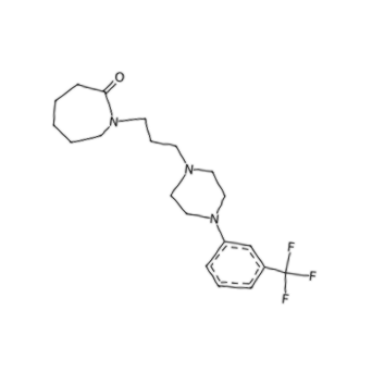 O=C1CCCCCN1CCCN1CCN(c2cccc(C(F)(F)F)c2)CC1